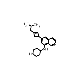 CN(C)CC1=CC(c2cc(NC3CCNCC3)c3cnccc3c2)C1